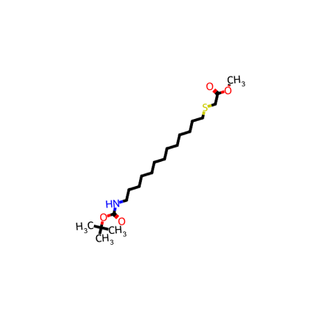 COC(=O)CSCCCCCCCCCCCCCNC(=O)OC(C)(C)C